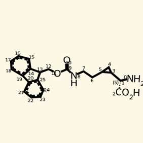 N[C@H](C(=O)O)C1CC1CCNC(=O)OCC1c2ccccc2-c2ccccc21